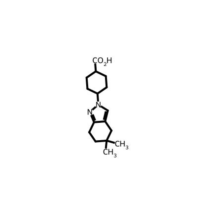 CC1(C)CCc2nn(C3CCC(C(=O)O)CC3)cc2C1